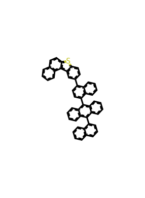 c1ccc2c(-c3c4ccccc4c(-c4ccc(-c5ccc6sc7ccc8ccccc8c7c6c5)c5ccccc45)c4ccccc34)cccc2c1